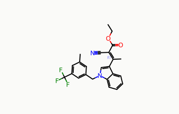 CCOC(=O)/C(C#N)=C(\C)c1cn(Cc2cc(C)cc(C(F)(F)F)c2)c2ccccc12